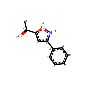 CC(=O)c1cc(-c2ccccc2)no1